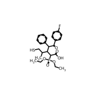 CCOP(=O)(OCC)C(C(=O)O)C(C(C)CS)C(C(=O)c1ccc(F)cc1)c1ccccc1